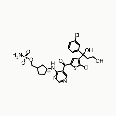 NS(=O)(=O)OCC1CC[C@H](Nc2ncncc2C(=O)c2cc(C(O)(CCO)c3cccc(Cl)c3)c(Cl)s2)C1